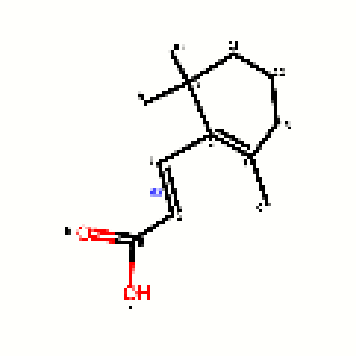 CC1=C(/C=C/C(=O)O)C(C)(C)CCC1